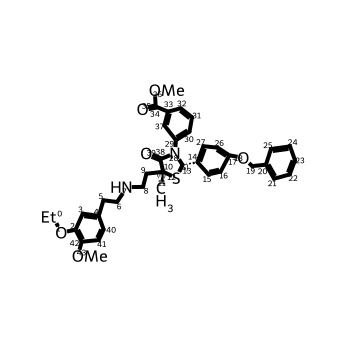 CCOc1cc(CCNCC[C@@]2(C)S[C@@H](c3ccc(OCc4ccccc4)cc3)N(c3cccc(C(=O)OC)c3)C2=O)ccc1OC